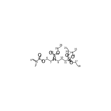 C=C(C)C(=O)OCCN(CCC[Si](OCC)(OCC)OCC)C(=O)OCC